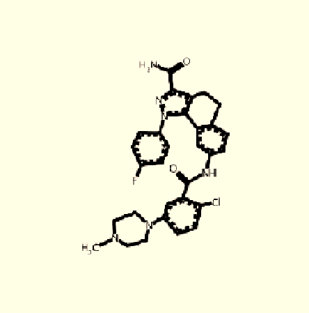 CN1CCN(c2ccc(Cl)c(C(=O)Nc3ccc4c(c3)-c3c(c(C(N)=O)nn3-c3ccc(F)cc3)CC4)c2)CC1